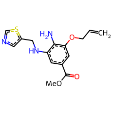 C=CCOc1cc(C(=O)OC)cc(NCc2cncs2)c1N